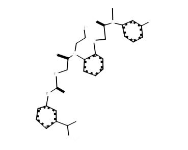 CC(C)CCN(C(=O)CNC(=O)Nc1cccc(C(C)C(=O)O)c1)c1ccccc1OCC(=O)N(C)c1cccc(F)c1